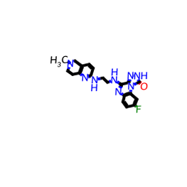 CN1CCc2nc(NCCNc3nc4ccc(F)cc4n4c(=O)[nH]nc34)ccc2C1